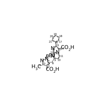 CCCCN1N=C(C)C(C(=O)O)=S1Cc1ccn2c(C(=O)O)c(-c3ccccc3)nc2n1